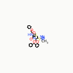 Cn1nnnc1SC1=CS[C@H]2[C@H](NC(=O)COc3ccccc3)C(=O)N2C1C(=O)OC(c1ccccc1)c1ccccc1